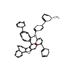 CC1C=CC=C(C2C=CC(N(c3ccc(C4=CC=CCC4)cc3)c3cc(-c4ccccc4)ccc3-c3cccc4oc5c6ccccc6ccc5c34)=CC2)C1